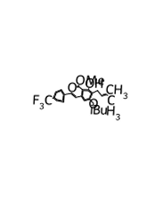 CCC(C)Oc1cc(C=Cc2ccc(C(F)(F)F)cc2)c(C(=O)OC)c(O)c1CC=C(C)C